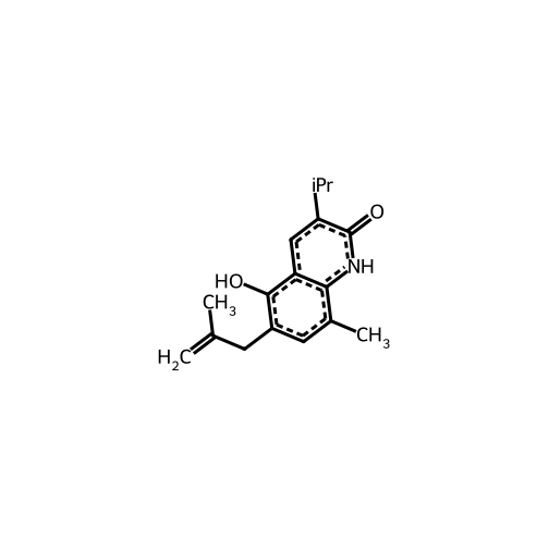 C=C(C)Cc1cc(C)c2[nH]c(=O)c(C(C)C)cc2c1O